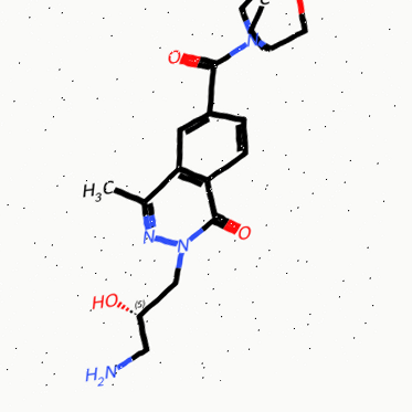 Cc1nn(C[C@@H](O)CN)c(=O)c2ccc(C(=O)N3CC4CCCC3CO4)cc12